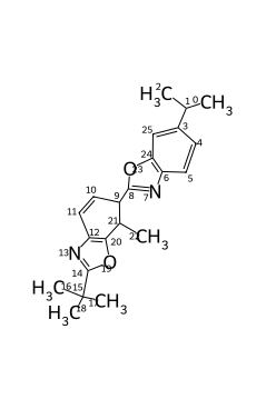 CC(C)c1ccc2nc(C3C=Cc4nc(C(C)(C)C)oc4C3C)oc2c1